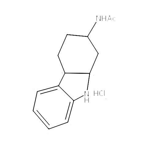 CC(=O)NC1CCC2c3ccccc3NC2C1.Cl